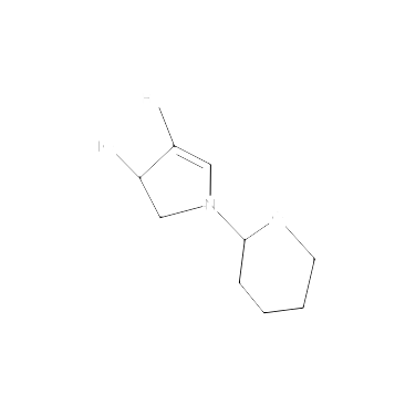 C[C@@]1(O)CN(C2CCCCO2)C=C1Br